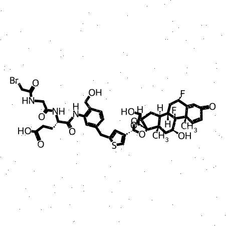 C[C@]12C=CC(=O)C=C1[C@@H](F)C[C@H]1[C@@H]3C[C@H]4O[C@@H](c5csc(Cc6ccc(CO)c(NC(=O)[C@H](CCC(=O)O)NC(=O)CNC(=O)CBr)c6)c5)O[C@@]4(C(=O)CO)[C@@]3(C)C[C@H](O)[C@@]12F